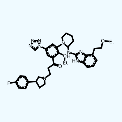 CCOCCc1cccc2[nH]c(NC3CCCCN3c3cc(-n4cnnn4)cc(C(=O)CCN4CCC(c5ccc(F)cc5)C4)c3OCC)nc12